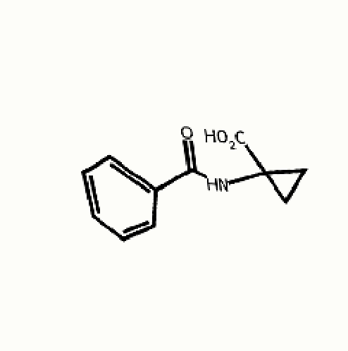 O=C(NC1(C(=O)O)CC1)c1ccccc1